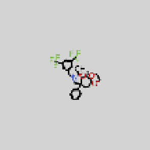 CC(=O)N(Cc1cc(C(F)(F)F)cc(C(F)(F)F)c1)CC1(c2ccccc2)CCC2(CC1)OCCO2